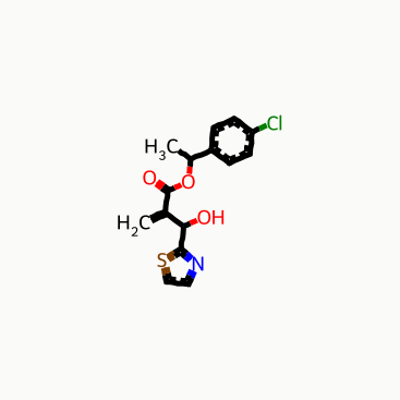 C=C(C(=O)OC(C)c1ccc(Cl)cc1)C(O)c1nccs1